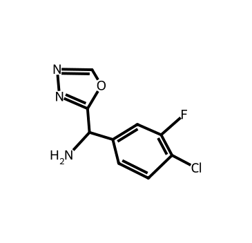 NC(c1ccc(Cl)c(F)c1)c1nnco1